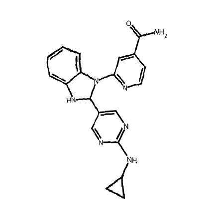 NC(=O)c1ccnc(N2c3ccccc3NC2c2cnc(NC3CC3)nc2)c1